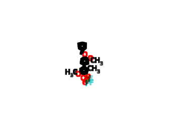 COc1cc(-c2cc(OC)c(OS(=O)(=O)C(F)(F)F)cc2C)ccc1OCc1ccccc1